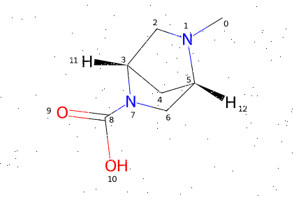 CN1C[C@@H]2C[C@H]1CN2C(=O)O